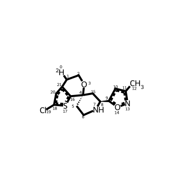 [2H]C1CO[C@]2(CCN[C@H](c3cc(C)no3)C2)c2sc(Cl)cc21